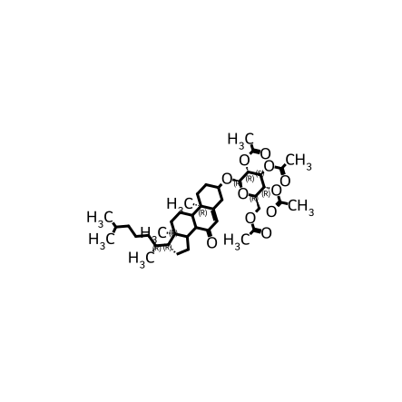 CC(=O)OC[C@H]1O[C@@H](OC2CC[C@@]3(C)C(=CC(=O)C4C3CC[C@@]3(C)C4CC[C@@H]3[C@H](C)CCCC(C)C)C2)[C@H](OC(C)=O)[C@@H](OC(C)=O)[C@@H]1OC(C)=O